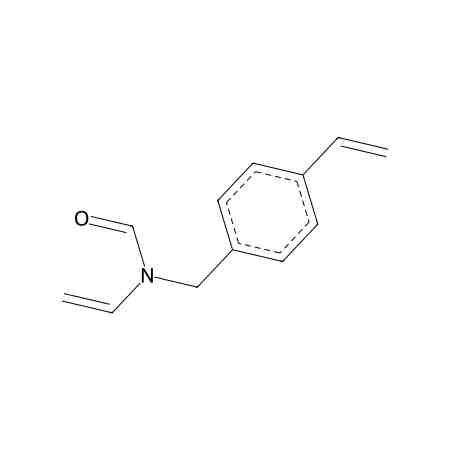 C=Cc1ccc(CN(C=C)C=O)cc1